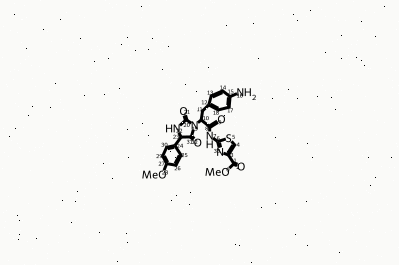 COC(=O)c1csc(NC(=O)C(Cc2ccc(N)cc2)N2C(=O)NC(c3ccc(OC)cc3)C2=O)n1